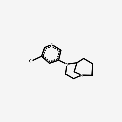 Clc1cncc(N2CCN3CCCC2C3)c1